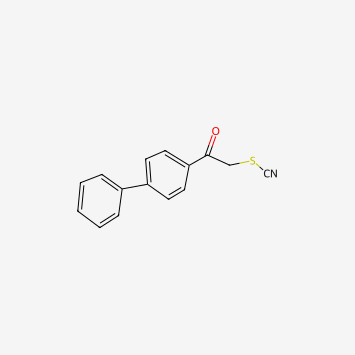 N#CSCC(=O)c1ccc(-c2ccccc2)cc1